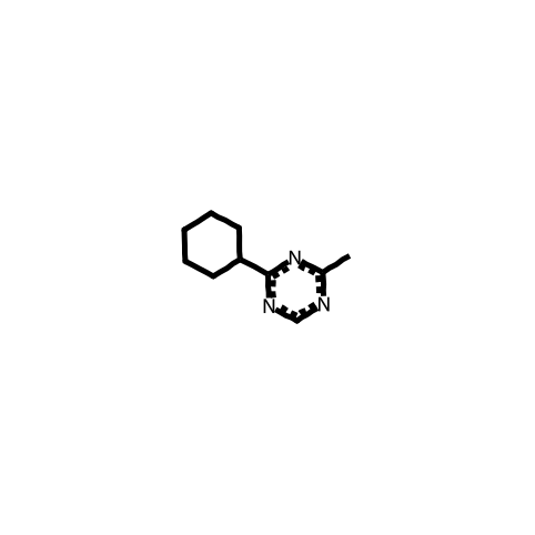 Cc1ncnc(C2CCCCC2)n1